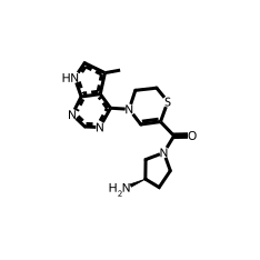 Cc1c[nH]c2ncnc(N3C=C(C(=O)N4CC[C@@H](N)C4)SCC3)c12